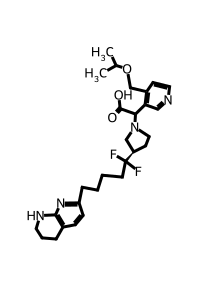 CC(C)OCc1ccncc1C(C(=O)O)N1CC[C@@H](C(F)(F)CCCCc2ccc3c(n2)NCCC3)C1